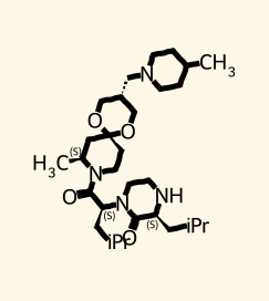 CC(C)C[C@@H]1NCCN([C@@H](CC(C)C)C(=O)N2CC[C@]3(C[C@@H]2C)OC[C@@H](CN2CCC(C)CC2)CO3)C1=O